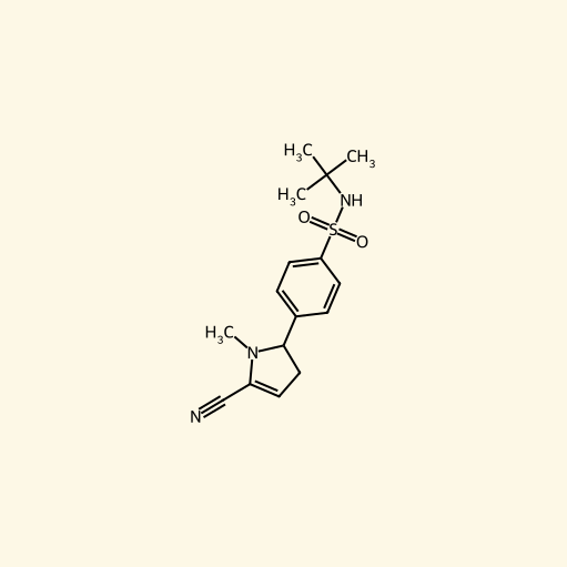 CN1C(C#N)=CCC1c1ccc(S(=O)(=O)NC(C)(C)C)cc1